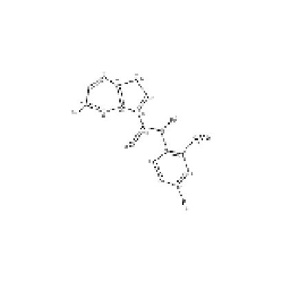 COc1cc(F)ccc1C(Br)C(=O)c1c[nH]c2ccc(C)cc12